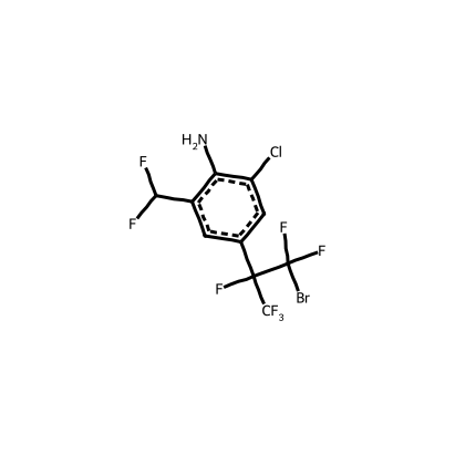 Nc1c(Cl)cc(C(F)(C(F)(F)F)C(F)(F)Br)cc1C(F)F